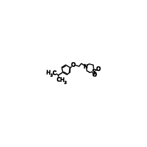 CC(C)c1ccc(OCCN2CCS(=O)(=O)CC2)cc1